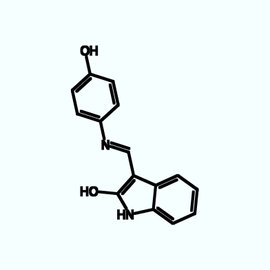 Oc1ccc(N=Cc2c(O)[nH]c3ccccc23)cc1